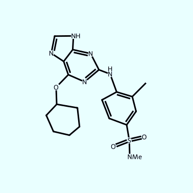 CNS(=O)(=O)c1ccc(Nc2nc(OC3CCCCC3)c3nc[nH]c3n2)c(C)c1